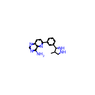 CC1CNNC1c1cccc(-c2ccc3ncnc(N)c3n2)c1